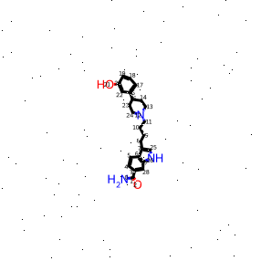 NC(=O)c1ccc2c(CCCCN3CCC(c4cccc(O)c4)CC3)c[nH]c2c1